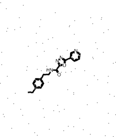 CCc1ccc(CCNC(=O)c2nnc(-c3cccnc3)o2)cc1